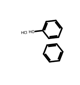 Cl.Oc1ccccc1.c1ccccc1